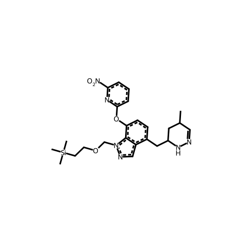 CC1C=NNC(Cc2ccc(Oc3cccc([N+](=O)[O-])n3)c3c2cnn3COCC[Si](C)(C)C)C1